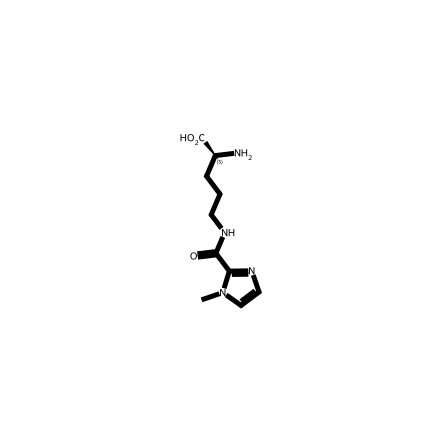 Cn1ccnc1C(=O)NCCC[C@H](N)C(=O)O